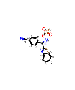 CS(=O)(=O)O/N=C(\c1ccc(C#N)cc1)c1nc2ccccc2s1